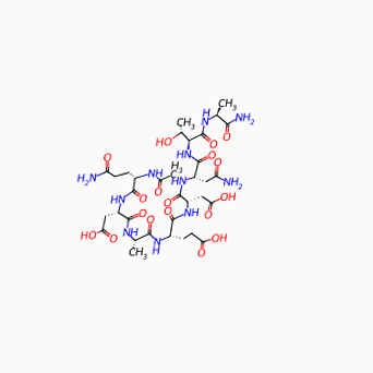 CC(=O)N[C@@H](CCC(N)=O)C(=O)N[C@@H](CC(=O)O)C(=O)N[C@@H](C)C(=O)N[C@@H](CCC(=O)O)C(=O)N[C@@H](CC(=O)O)C(=O)N[C@@H](CC(N)=O)C(=O)N[C@H](C(=O)N[C@@H](C)C(N)=O)[C@@H](C)O